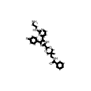 CC1(CNC(=O)c2ccccc2)COC(c2nc(-c3ccc(F)cc3)c(-c3ccnc(NCCN)n3)[nH]2)OC1